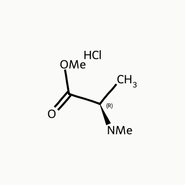 CN[C@H](C)C(=O)OC.Cl